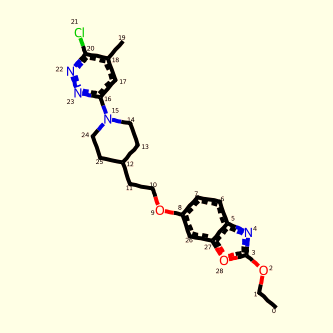 CCOc1nc2ccc(OCCC3CCN(c4cc(C)c(Cl)nn4)CC3)cc2o1